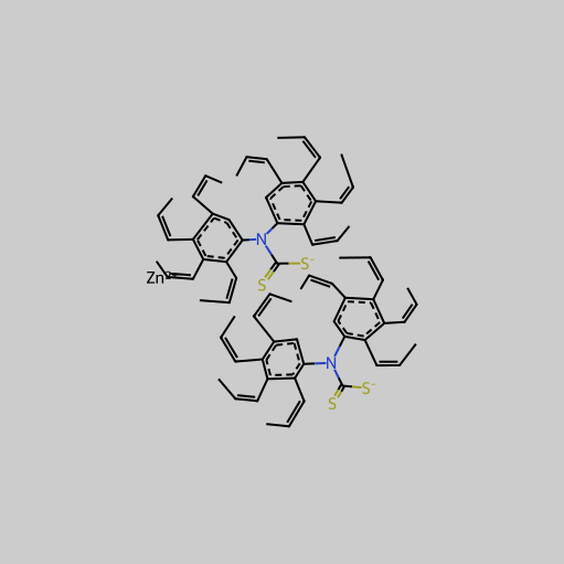 C/C=C\c1cc(N(C(=S)[S-])c2cc(/C=C\C)c(/C=C\C)c(/C=C\C)c2/C=C\C)c(/C=C\C)c(/C=C\C)c1/C=C\C.C/C=C\c1cc(N(C(=S)[S-])c2cc(/C=C\C)c(/C=C\C)c(/C=C\C)c2/C=C\C)c(/C=C\C)c(/C=C\C)c1/C=C\C.[Zn+2]